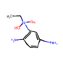 CC[N+](O)(O)c1cc(N)ccc1N